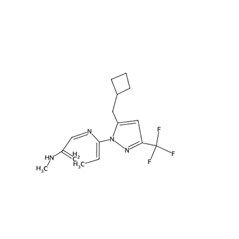 C=C(/C=N\C(=C/C)n1nc(C(F)(F)F)cc1CC1CCC1)NC